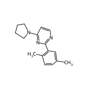 Cc1ccc(C)c(-c2nccc(N3CCCC3)n2)c1